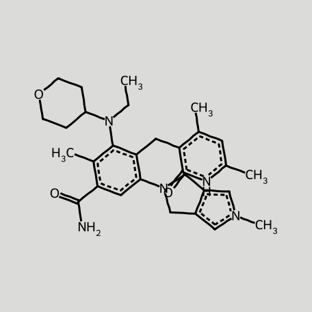 CCN(c1c(C)c(C(N)=O)cc(N2Cc3cn(C)cc3C2)c1Cc1c(C)cc(C)[nH]c1=O)C1CCOCC1